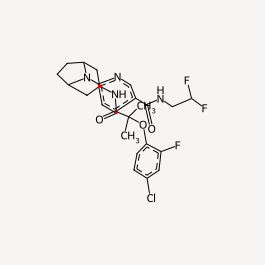 CC(C)(Oc1ccc(Cl)cc1F)C(=O)NC1CC2CCC(C1)N2c1ccc(C(=O)NCC(F)F)cn1